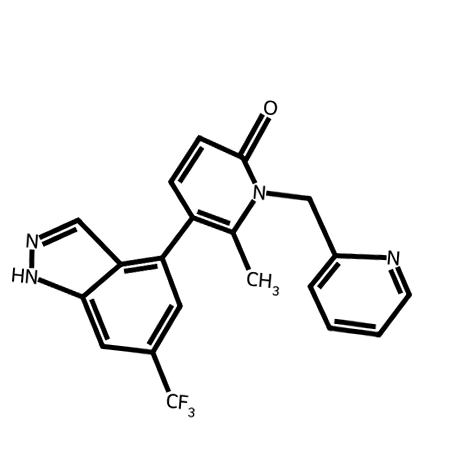 Cc1c(-c2cc(C(F)(F)F)cc3[nH]ncc23)ccc(=O)n1Cc1ccccn1